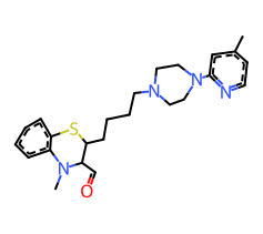 Cc1ccnc(N2CCN(CCCCC3Sc4ccccc4N(C)C3C=O)CC2)c1